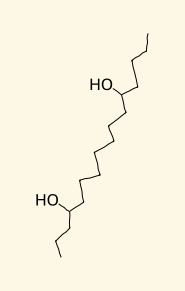 CCCCC(O)CCCCCCCC(O)CCC